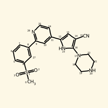 CS(=O)(=O)c1cccc(-c2cc(-c3cc(C#N)c(N4CCNCC4)[nH]3)ccn2)c1